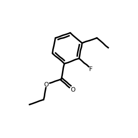 CCOC(=O)c1cccc(CC)c1F